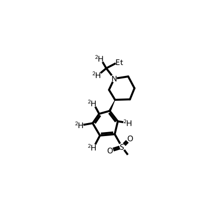 [2H]c1c([2H])c([C@@H]2CCCN(C([2H])([2H])CC)C2)c([2H])c(S(C)(=O)=O)c1[2H]